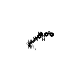 NCS(=O)(=O)CCNCc1nc(-c2ccc3c(Nc4ccc(Oc5ccccc5)cc4)ccnc3c2)cs1